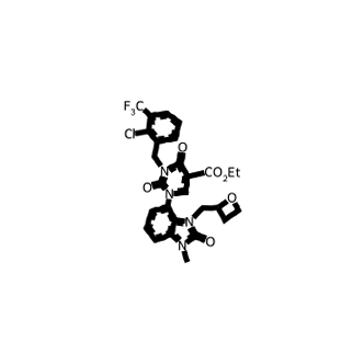 CCOC(=O)c1cn(-c2cccc3c2n(CC2CCO2)c(=O)n3C)c(=O)n(Cc2cccc(C(F)(F)F)c2Cl)c1=O